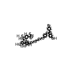 Cc1ncoc1-c1ccc([C@H](C)NC(=O)[C@@H]2C[C@@H](O)CN2C(=O)[C@@H](NC(=O)COCCOCCOCCOc2ccc(Oc3c(-c4ccc(Br)cc4)sc4cc(O)ccc34)cc2)C(C)(C)C)cc1